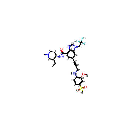 CCC1CN(C)CCC1NC(=O)c1cc(C#CCNc2ccc(S(C)(=O)=O)cc2OC)cc2c1ncn2CC(F)(F)F